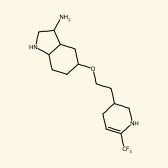 NC1CNC2CCC(OCCC3CC=C(C(F)(F)F)NC3)CC12